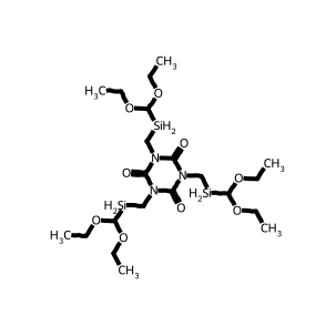 CCOC(OCC)[SiH2]Cn1c(=O)n(C[SiH2]C(OCC)OCC)c(=O)n(C[SiH2]C(OCC)OCC)c1=O